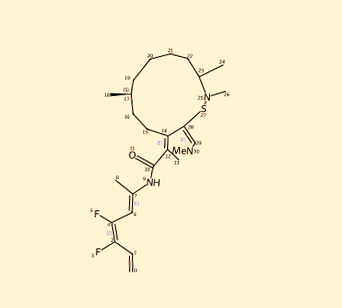 C=C/C(F)=C(F)\C=C(/C)NC(=O)/C(C)=C1\CC[C@@H](C)CCCCC(C)N(C)S\C1=C\NC